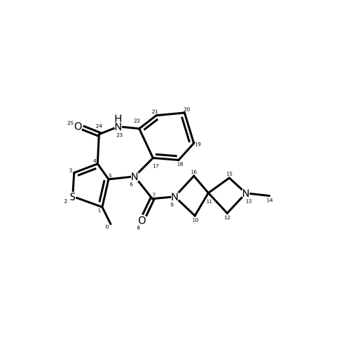 Cc1scc2c1N(C(=O)N1CC3(CN(C)C3)C1)c1ccccc1NC2=O